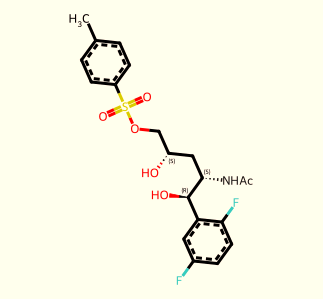 CC(=O)N[C@@H](C[C@H](O)COS(=O)(=O)c1ccc(C)cc1)[C@H](O)c1cc(F)ccc1F